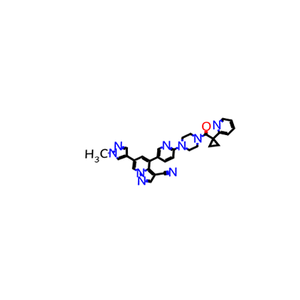 Cn1cc(-c2cc(-c3ccc(N4CCN(C(=O)C5(c6ccccn6)CC5)CC4)nc3)c3c(C#N)cnn3c2)cn1